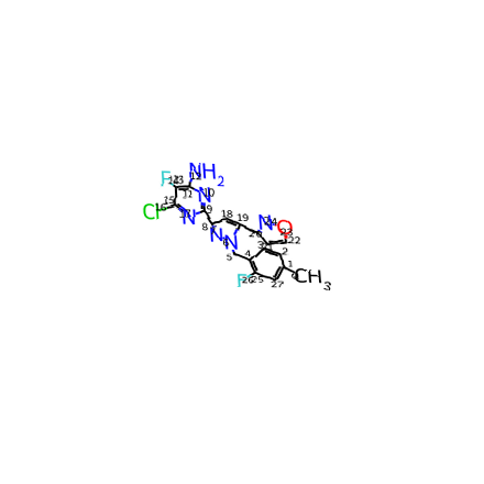 Cc1ccc(Cn2nc(-c3nc(N)c(F)c(Cl)n3)cc2-c2ccon2)c(F)c1